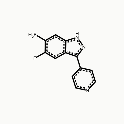 Bc1cc2[nH]nc(-c3ccncc3)c2cc1F